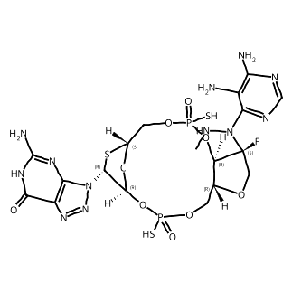 CNN(c1ncnc(N)c1N)[C@]1(F)CO[C@@H]2COP(=O)(S)O[C@@H]3C[C@@H](COP(=O)(S)O[C@H]21)S[C@H]3n1nnc2c(=O)[nH]c(N)nc21